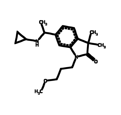 COCCCN1C(=O)C(C)(C)c2ccc(C(C)NC3CC3)cc21